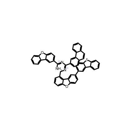 N/C(=N\C(=N/Cc1cccc2oc3ccc(-c4ccc5sc6ccccc6c5c4)cc3c12)c1ccc2ccc3ccccc3c2c1)c1ccc2oc3ccccc3c2c1